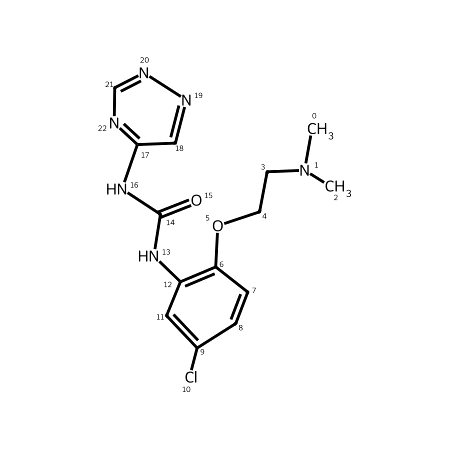 CN(C)CCOc1ccc(Cl)cc1NC(=O)Nc1cnncn1